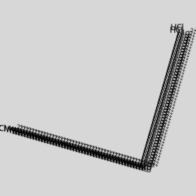 Cl.Cl.Cl.[Mg+2].[Mg+2].[Mg+2].[Mg+2].[Mg+2].[Mg+2].[Mg+2].[Mg+2].[Mg+2].[Mg+2].[Mg+2].[Mg+2].[Mg+2].[Mg+2].[Mg+2].[Mg+2].[Mg+2].[Mg+2].[Mg+2].[Mg+2].[Mg+2].[Mg+2].[Mg+2].[Mg+2].[Mg+2].[Mg+2].[Mg+2].[Mg+2].[Mg+2].[Mg+2].[Mg+2].[Mg+2].[Mg+2].[Mg+2].[Mg+2].[Mg+2].[Mg+2].[Mg+2].[Mg+2].[Mg+2].[Mg+2].[Mg+2].[Mg+2].[Mg+2].[Mg+2].[Mg+2].[Mg+2].[Mg+2].[Mg+2].[Mg+2].[Mg+2].[Mg+2].[Mg+2].[Mg+2].[Mg+2].[Mg+2].[Mg+2].[Mg+2].[Mg+2].[Mg+2].[Mg+2].[Mg+2].[Mg+2].[Mg+2].[Mg+2].[Mg+2].[Mg+2].[Mg+2].[Mg+2].[Mg+2].[Mg+2].[Mg+2].[Mg+2].[Mg+2].[Mg+2].[Mg+2].[Mg+2].[Mg+2].[Mg+2].[Mg+2].[Mg+2].[Mg+2].[Mg+2].[Mg+2].[Mg+2].[Mg+2].[Mg+2].[Mg+2].[Mg+2].[Mg+2].[Mg+2].[Mg+2].[Mg+2].[Mg+2].[Mg+2]